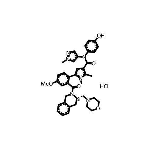 COc1ccc(-c2cc(C(=O)N(c3ccc(O)cc3)c3cnn(C)c3)c(C)n2C)c(C(=O)N2Cc3ccccc3C[C@H]2CN2CCOCC2)c1.Cl